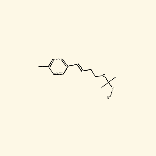 CCOC(C)(C)OCCC=Cc1ccc(C)cc1